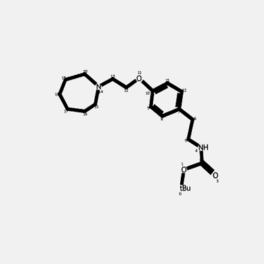 CC(C)(C)OC(=O)NCCc1ccc(OCCN2CCCCCC2)cc1